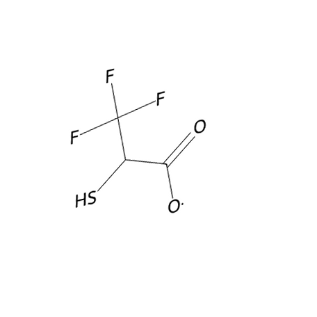 [O]C(=O)C(S)C(F)(F)F